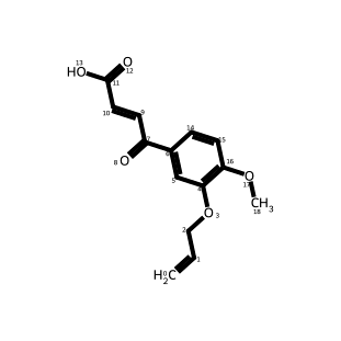 C=CCOc1cc(C(=O)C=CC(=O)O)ccc1OC